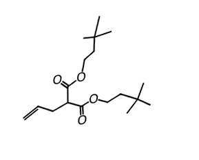 C=CCC(C(=O)OCCC(C)(C)C)C(=O)OCCC(C)(C)C